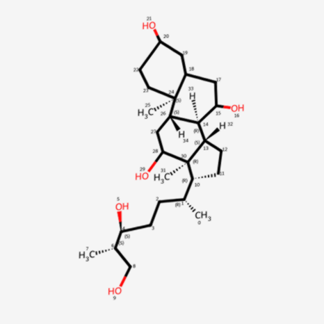 C[C@H](CC[C@H](O)[C@@H](C)CO)[C@H]1CC[C@H]2[C@@H]3C(O)CC4CC(O)CC[C@]4(C)[C@H]3CC(O)[C@]12C